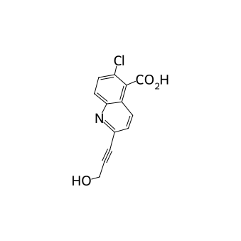 O=C(O)c1c(Cl)ccc2nc(C#CCO)ccc12